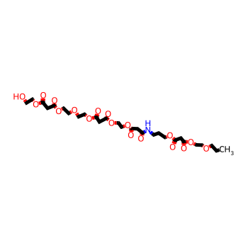 CCCOCCOC(=O)CC(=O)OCCCNC(=O)CC(=O)OCCOC(=O)CC(=O)OCCOCCOC(=O)CC(=O)OCCO